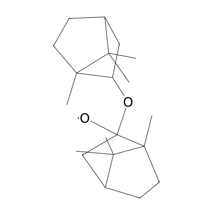 CC1(C)C2CCC1(C)C(OC1([O])CC3CCC1(C)C3(C)C)C2